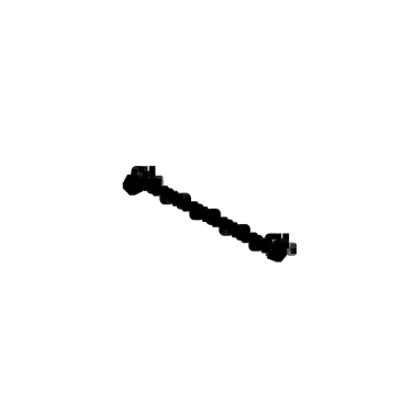 C[N+]1(CCOCCOCCOCCOCCOCCOCCOCCOCC[N+]2(C)CCCC2)CCCC1